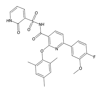 COc1cc(-c2ccc(C(=O)NS(=O)(=O)c3ccc[nH]c3=O)c(Oc3c(C)cc(C)cc3C)n2)ccc1F